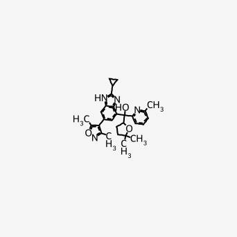 Cc1cccc(C(O)(c2cc(-c3c(C)noc3C)cc3[nH]c(C4CC4)nc23)C2CCC(C)(C)O2)n1